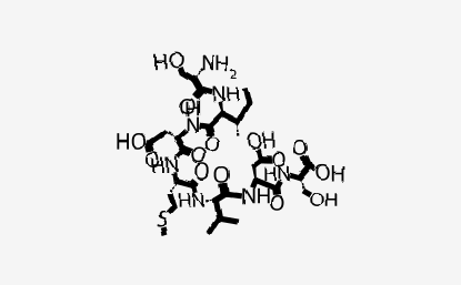 CC[C@H](C)[C@H](NC(=O)[C@@H](N)CO)C(=O)N[C@@H](CC(=O)O)C(=O)N[C@@H](CCSC)C(=O)N[C@H](C(=O)N[C@@H](CC(=O)O)C(=O)N[C@@H](CO)C(=O)O)C(C)C